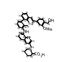 COc1cc(C(F)=Cc2cccc(-c3cccc(Nc4nccc5cc(CN6CCCCC6C(=O)O)cnc45)c3C)c2C)ccc1CO